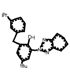 CC(C)c1cccc(Cc2cc(C(C)(C)C)cc(-n3nc4ccccc4n3)c2O)c1